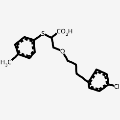 Cc1ccc(SC(COCCCc2ccc(Cl)cc2)C(=O)O)cc1